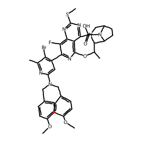 COc1ccc(CN(Cc2ccc(OC)cc2)c2cc(-c3nc4c5c(nc(SC)nc5c3F)N3CC5CCC(C3C(C)O4)N5C(=O)O)c(Br)c(C)n2)cc1